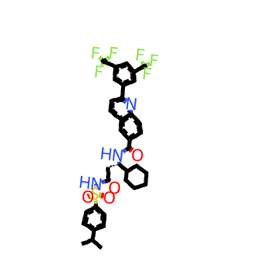 CC(C)c1ccc(S(=O)(=O)NC(=O)C[C@H](NC(=O)c2ccc3nc(-c4cc(C(F)(F)F)cc(C(F)(F)F)c4)ccc3c2)C2CCCCC2)cc1